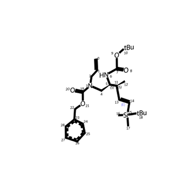 C=CCN(C[C@@H](NC(=O)OC(C)(C)C)[C@@H](C)/C=C/[Si](C)(C)C(C)(C)C)C(=O)OCc1ccccc1